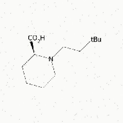 CC(C)(C)CCN1CCCC[C@H]1C(=O)O